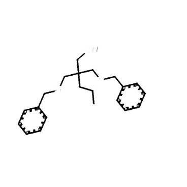 CCCC(CO)(COCc1ccccc1)CSCc1ccccc1